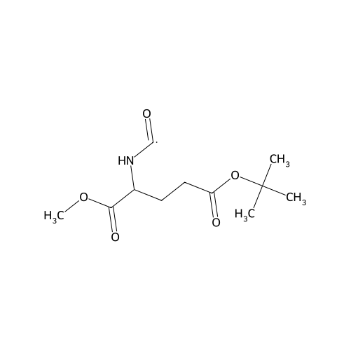 COC(=O)C(CCC(=O)OC(C)(C)C)N[C]=O